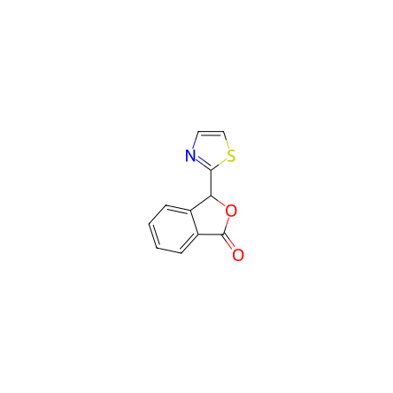 O=C1OC(c2nccs2)c2ccccc21